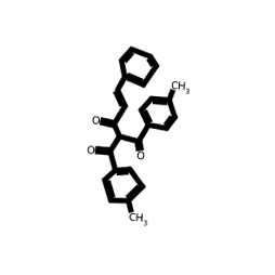 Cc1ccc(C(=O)C(C(=O)C=Cc2ccccc2)C(=O)c2ccc(C)cc2)cc1